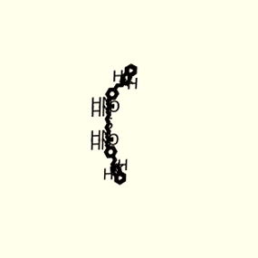 O=C(NCCSCCNC(=O)NC1CCC(CCN2[C@@H]3CC[C@H]2c2ccccc23)CC1)NC1CCC(CCN2[C@@H]3CC[C@H]2c2ccccc23)CC1